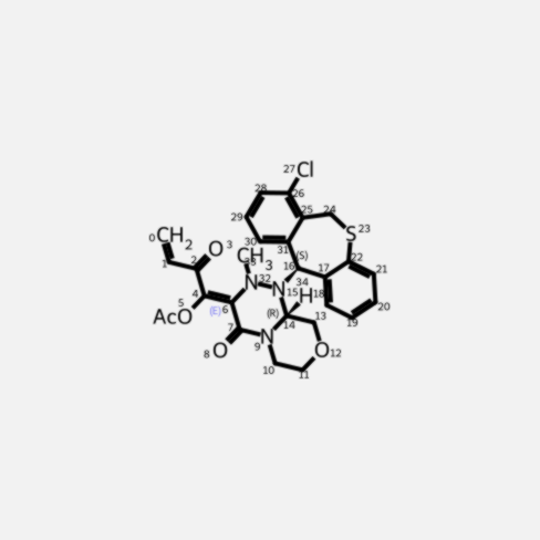 C=CC(=O)/C(OC(C)=O)=C1/C(=O)N2CCOC[C@H]2N([C@@H]2c3ccccc3SCc3c(Cl)cccc32)N1C